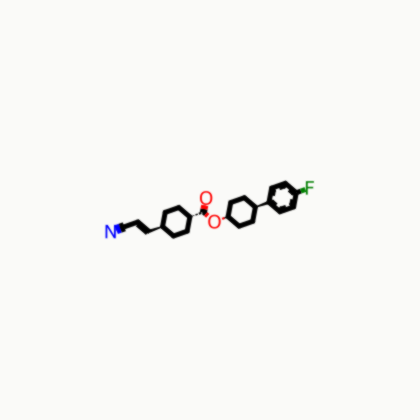 N#CC=C[C@H]1CC[C@H](C(=O)O[C@H]2CC[C@H](c3ccc(F)cc3)CC2)CC1